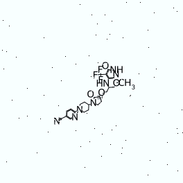 COCC(CO[C@H]1CCN(C2CCN(c3ccc(C#N)cn3)CC2)C1=O)Nc1cn[nH]c(=O)c1C(F)(F)F